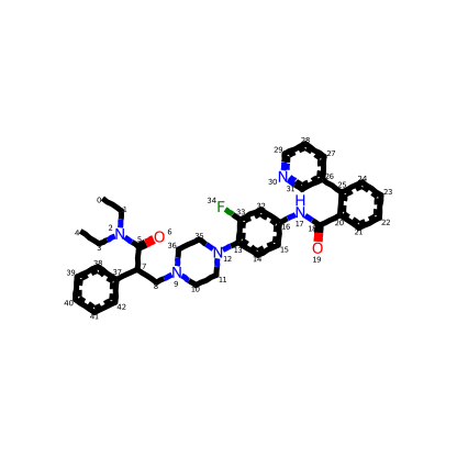 CCN(CC)C(=O)C(CN1CCN(c2ccc(NC(=O)c3ccccc3-c3cccnc3)cc2F)CC1)c1ccccc1